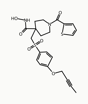 CC#CCOc1ccc(S(=O)(=O)CC2(C(=O)NO)CCN(C(=O)c3cccs3)CC2)cc1